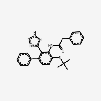 CC(C)(C)Sc1ccc(-c2ccccc2)c(-c2nn[nH]n2)c1NC(=O)Cc1ccccc1